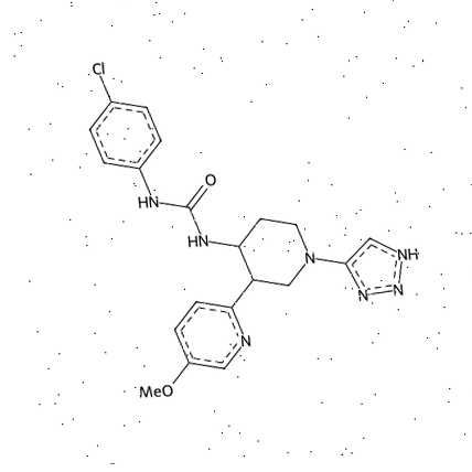 COc1ccc(C2CN(c3c[nH]nn3)CCC2NC(=O)Nc2ccc(Cl)cc2)nc1